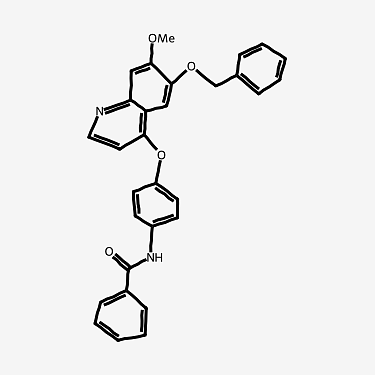 COc1cc2nccc(Oc3ccc(NC(=O)c4ccccc4)cc3)c2cc1OCc1ccccc1